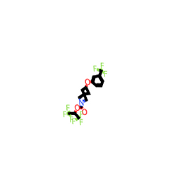 O=C(OC(C(F)(F)F)C(F)(F)F)N1CC2(CC(Oc3cccc(C(F)(F)F)c3)C2)C1